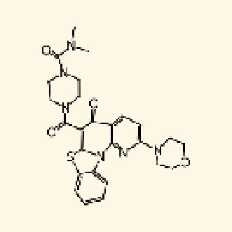 CN(C)C(=O)N1CCN(C(=O)c2c(=O)c3ccc(N4CCOCC4)nc3n3c2sc2ccccc23)CC1